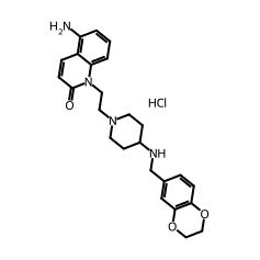 Cl.Nc1cccc2c1ccc(=O)n2CCN1CCC(NCc2ccc3c(c2)OCCO3)CC1